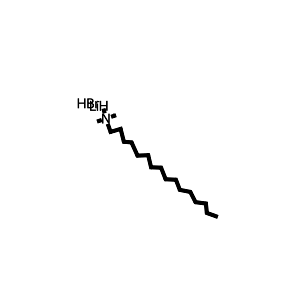 Br.CCCCCCCCCCCCCCCC[N+](C)(C)C.[LiH]